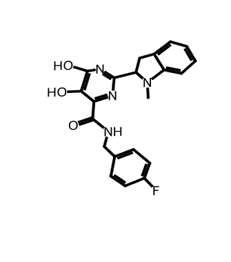 CN1c2ccccc2CC1c1nc(O)c(O)c(C(=O)NCc2ccc(F)cc2)n1